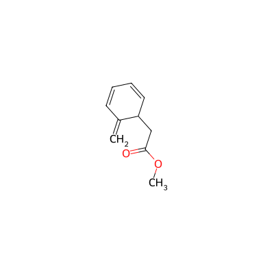 C=C1C=CC=CC1CC(=O)OC